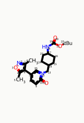 Cc1noc(C)c1-c1ccc(=O)n(CC2CCC(NC(=O)OC(C)(C)C)CC2)c1